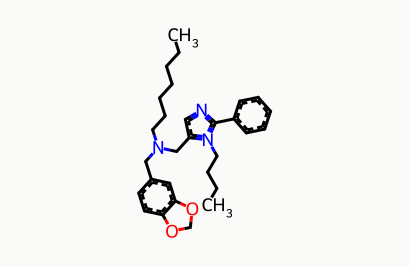 CCCCCCCN(Cc1ccc2c(c1)OCO2)Cc1cnc(-c2ccccc2)n1CCCC